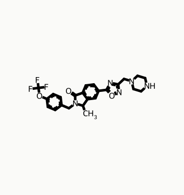 CC1c2cc(-c3nc(CN4CCNCC4)no3)ccc2C(=O)N1Cc1ccc(OC(F)(F)F)cc1